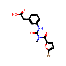 CN(C(=O)Nc1cccc(CC(=O)O)c1)C(=O)c1ccc(Br)o1